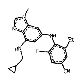 CCc1cc(C#N)cc(F)c1Nc1cc(NCC2CC2)c2ncn(C)c2c1